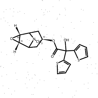 CN1C2C[C@@H](OC(=O)C(O)(c3cccs3)c3cccs3)CC1[C@@H]1O[C@H]21